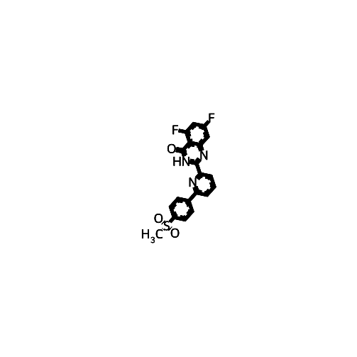 CS(=O)(=O)c1ccc(-c2cccc(-c3nc4cc(F)cc(F)c4c(=O)[nH]3)n2)cc1